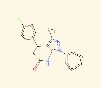 Cc1nn(-c2ccccc2)c2c1C(c1ccc(F)cc1)CC(=O)N2